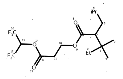 CCC(C)(C)C(CC(C)C)C(=O)OCCC(=O)OC(C(F)(F)F)C(F)(F)F